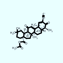 [C-]#[N+]C1=C[C@]2(C)C3=CC(=O)[C@@H]4[C@@H]5CC(C)(C)CC[C@]5(C(=O)OC(C)=O)CC[C@@]4(C)[C@]3(C)CC[C@H]2[C@H](C)C1=O